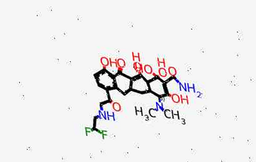 CN(C)[C@@H]1C(O)=C(C(N)=O)C(O)(O)C2C(O)=C3C(=O)c4c(O)ccc(C(=O)CNCC(F)F)c4CC3CC21